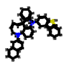 C/C1=C\C=C/CN(C2=CC=C3CCC=CC3C2)C2CC=CC(N(C3=CCCC=C3)C3C=Cc4sc5c(c4C3)=CCCC=5)=C12